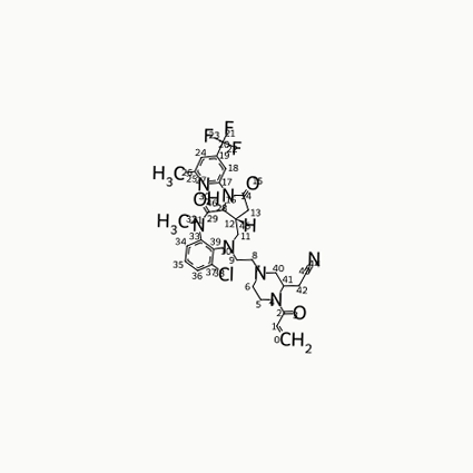 C=CC(=O)N1CCN(CCN2C[C@H]3CC(=O)N(c4cc(C(F)(F)F)cc(C)n4)[C@@H]3C(=O)N(C)c3cccc(Cl)c32)CC1CC#N